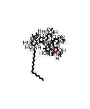 CCCCCC/C=C\CCCCCCCCCC(=O)NC1C(O)[C@H](O)C(OC(C)=O)O[C@H]1O[C@@H]1C(CO)O[C@@H](O[C@@H]2C(CO)O[C@@H](O[C@@H]3C(CO)O[C@@H](O[C@@H]4C(CO[C@@H]5OC(C)[C@@H](O)C(O)C5OC)O[C@@H](O)C(NC(C)=O)C4O)C(NC(C)=O)C3O)[C@@H](NC(C)=O)C2O)C(NC(C)=O)C1O